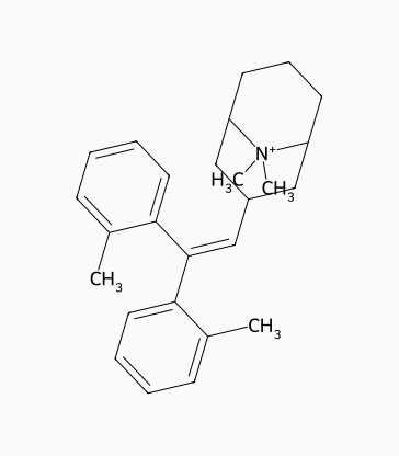 Cc1ccccc1C(=CC1CC2CCCC(C1)[N+]2(C)C)c1ccccc1C